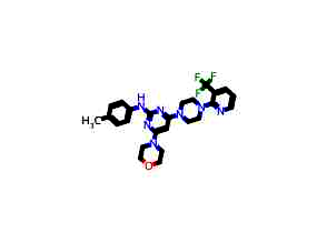 Cc1ccc(Nc2nc(N3CCOCC3)cc(N3CCN(c4ncccc4C(F)(F)F)CC3)n2)cc1